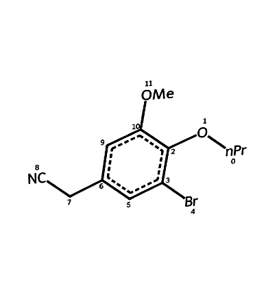 CCCOc1c(Br)cc(CC#N)cc1OC